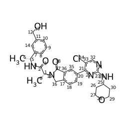 C[C@H](C(=O)N[C@H](C)c1cccc(CO)c1)N1Cc2ccc(-c3nc(NC4CCOCC4)ncc3Cl)cc2C1=O